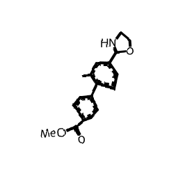 COC(=O)c1ccc(-c2ccc(C3NCCO3)cc2C)cc1